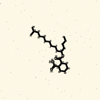 CCCCC(CCCCCCCCC(C)C)OC(=O)C1CCCCC1C(=O)O